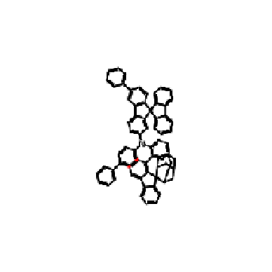 c1ccc(-c2ccc(N(c3ccc4c(c3)C3(c5ccccc5-c5ccccc53)c3ccc(-c5ccccc5)cc3-4)c3ccccc3-c3cccc4c3C3(c5ccccc5-4)C4CC5CC(C4)CC3C5)cc2)cc1